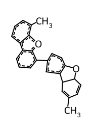 CC1=CC2c3cc(-c4cccc5c4oc4c(C)cccc45)ccc3OC2C=C1